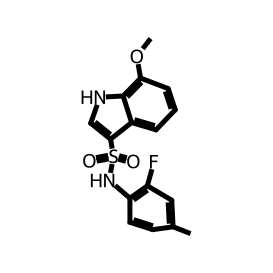 COc1cccc2c(S(=O)(=O)Nc3ccc(C)cc3F)c[nH]c12